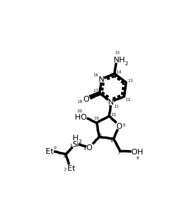 CCC(CC)[SiH2]OC1C(CO)OC(n2ccc(N)nc2=O)C1O